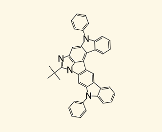 CC(C)(C)c1nc2cc3c(c4ccccc4n3-c3ccccc3)c3c4cc5c6ccccc6n(-c6ccccc6)c5cc4n1c23